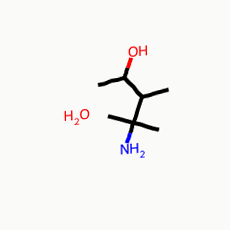 CC(O)C(C)C(C)(C)N.O